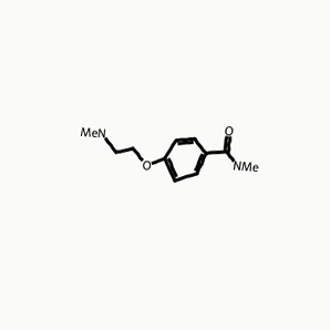 CNCCOc1ccc(C(=O)NC)cc1